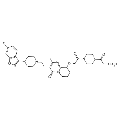 Cc1nc2n(c(=O)c1CCN1CCC(c3noc4cc(F)ccc34)CC1)CCCC2OCC(=O)N1CCC(C(=O)CC(=O)O)CC1